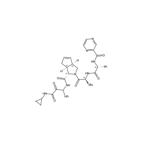 CCCC(NC(=O)[C@@H]1[C@H]2CC=C[C@H]2CN1C(=O)[C@@H](NC(=O)[C@H](NC(=O)c1cnccn1)C(C)C)C(C)(C)C)C(=O)C(=O)NC1CC1